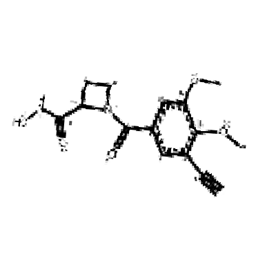 C#Cc1cc(C(=O)N2CCC2C(=O)NO)cc(OC)c1OC